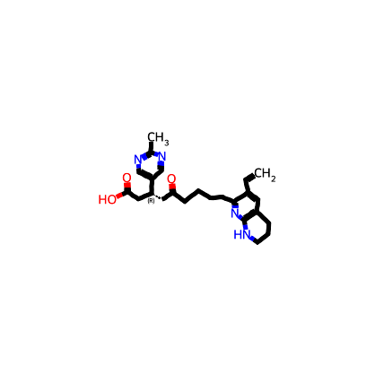 C=Cc1cc2c(nc1CCCCC(=O)C[C@H](CC(=O)O)c1cnc(C)nc1)NCCC2